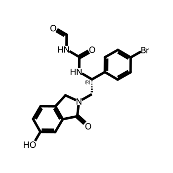 O=CNC(=O)N[C@@H](CN1Cc2ccc(O)cc2C1=O)c1ccc(Br)cc1